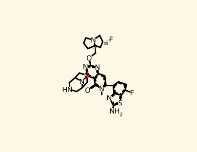 Cn1c(-c2ccc(F)c3sc(N)nc23)cc2nc(OC[C@@]34CCCN3C[C@H](F)C4)nc(N3C4CNCC3COC4)c2c1=O